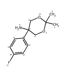 CC1(C)OCC(N)(c2ccc(F)cc2)CO1